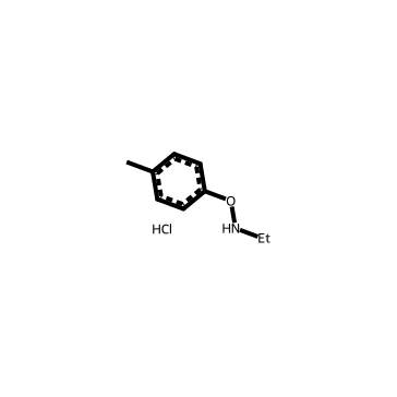 CCNOc1ccc(C)cc1.Cl